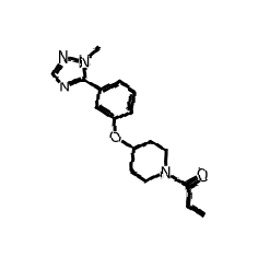 C=CC(=O)N1CCC(Oc2cccc(-c3ncnn3C)c2)CC1